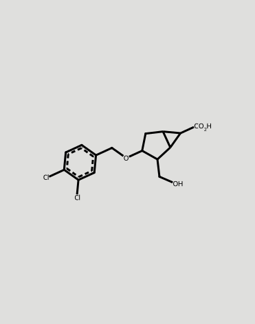 O=C(O)C1C2CC(OCc3ccc(Cl)c(Cl)c3)C(CO)C21